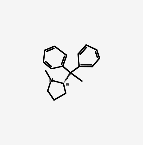 CN1CCC[C@H]1C(C)(c1ccccc1)c1ccccc1